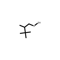 CC(CSS)C(C)(C)C